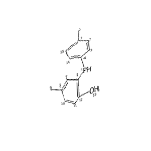 Cc1ccc(Pc2cc(C)ccc2O)cc1